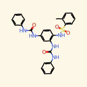 Cc1ccccc1S(=O)(=O)Nc1ccc(NC(=O)Nc2ccccc2)cc1NC(=O)Nc1ccccc1